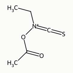 CC[N+](=C=S)OC(C)=O